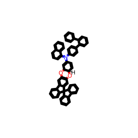 C1=C[C@H]2Oc3cc4c(cc3OC2C=C1N(c1ccc(-c2ccccc2-c2ccccc2)cc1)c1cccc2ccccc12)-c1ccccc1C41c2ccccc2-c2ccccc21